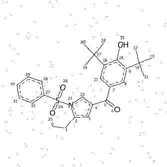 CCc1cc(C(=O)c2cc(C(C)(C)C)c(O)c(C(C)(C)C)c2)cn1S(=O)(=O)c1ccccc1